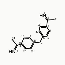 CC(=N)c1ccc(Cc2ccc(C(C)=N)cc2)cc1